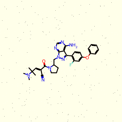 CN(C)C(C)(C)C=C(C#N)C(=O)N1CCCC1Cn1nc(-c2ccc(Oc3ccccc3)cc2F)c2c(N)ncnc21